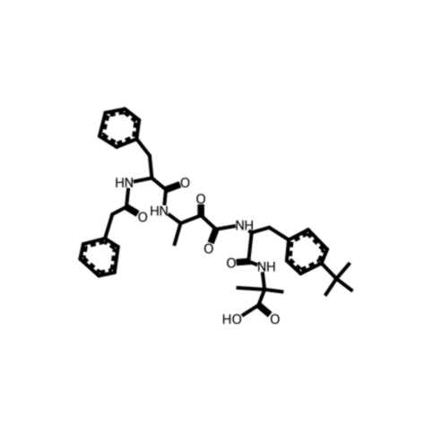 CC(NC(=O)C(Cc1ccccc1)NC(=O)Cc1ccccc1)C(=O)C(=O)NC(Cc1ccc(C(C)(C)C)cc1)C(=O)NC(C)(C)C(=O)O